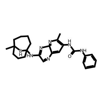 Cc1nc2nc(NC34BC(C)(CCCC3)CCC4)cnc2cc1NC(=O)Nc1ccccc1